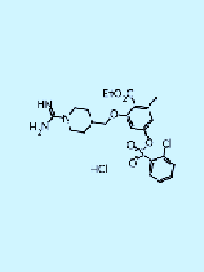 CCOC(=O)c1c(C)cc(OS(=O)(=O)c2ccccc2Cl)cc1OCC1CCN(C(=N)N)CC1.Cl